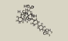 CC(C)c1ccc(-c2ccc(C(=O)N[C@@H](CCC(=O)O)C(=O)NC(C)(C)Cc3ccccc3)cc2)cc1